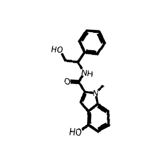 Cn1c(C(=O)NC(CO)c2ccccc2)cc2c(O)cccc21